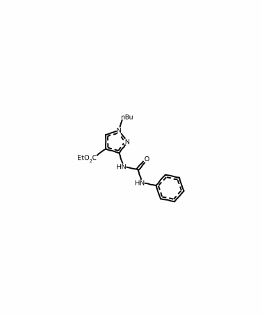 CCCCn1cc(C(=O)OCC)c(NC(=O)Nc2ccccc2)n1